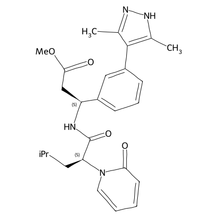 COC(=O)C[C@H](NC(=O)[C@H](CC(C)C)n1ccccc1=O)c1cccc(-c2c(C)n[nH]c2C)c1